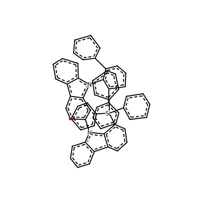 c1ccc(-c2cccc(-c3ccccc3)c2-n2c3ccccc3c3ccc(-n4c5ccccc5c5cccc([Si](c6ccccc6)(c6ccccc6)c6ccccc6)c54)cc32)cc1